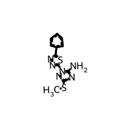 CSc1nc(N)n(-c2nnc(-c3ccccc3)s2)n1